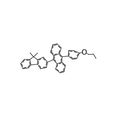 CCCOc1ccc(-c2c3ccccc3c(-c3ccc4c(c3)C(C)(C)c3ccccc3-4)c3ccccc23)cc1